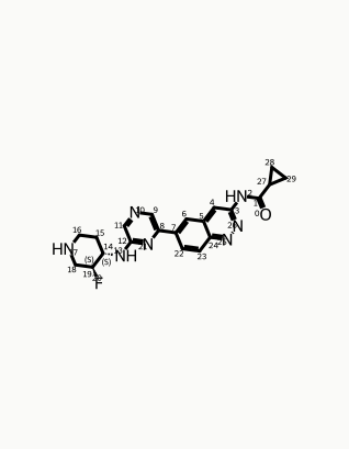 O=C(Nc1cc2cc(-c3cncc(N[C@H]4CCNC[C@@H]4F)n3)ccc2nn1)C1CC1